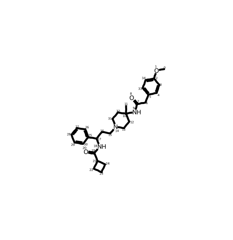 COc1ccc(CC(=O)NC2(C)CCN(CCC(NC(=O)C3CCC3)c3ccccc3)CC2)cc1